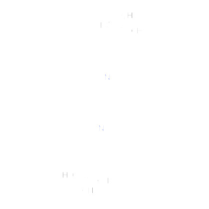 CC(C)(C)c1ccc2c(c1)c1cccc3c4c(-c5ccccc5)c5c(c(-c6ccccc6)c4n2c13)c1cccc2c3cc(C(C)(C)C)ccc3n5c21